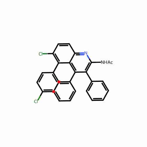 CC(=O)Nc1nc2ccc(Cl)c(-c3ccc(Cl)cc3)c2c(-c2ccccc2)c1-c1ccccc1